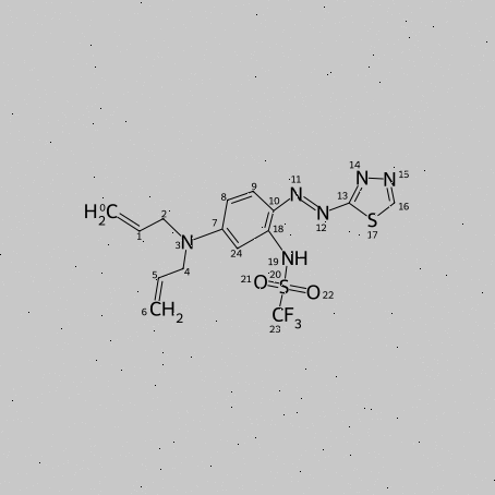 C=CCN(CC=C)c1ccc(N=Nc2nncs2)c(NS(=O)(=O)C(F)(F)F)c1